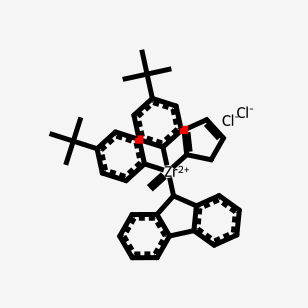 [CH2]=[Zr+2]([C]1=CC=CC1)([c]1ccc(C(C)(C)C)cc1)([c]1ccc(C(C)(C)C)cc1)[CH]1c2ccccc2-c2ccccc21.[Cl-].[Cl-]